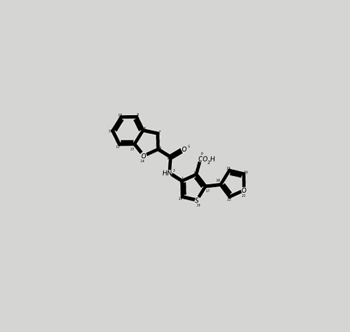 O=C(O)c1c(NC(=O)C2Cc3ccccc3O2)csc1-c1ccoc1